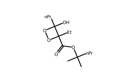 CCCC(C)(C)OC(=O)C1(CC)OOC1(O)CCC